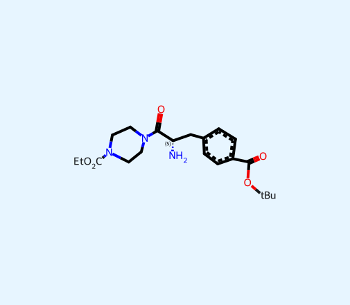 CCOC(=O)N1CCN(C(=O)[C@@H](N)Cc2ccc(C(=O)OC(C)(C)C)cc2)CC1